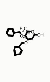 OC1C[C@H](OCc2ccccc2)[C@H](OCc2ccccc2)[C@H](C(F)(F)F)O1